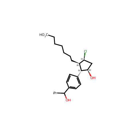 CC(C)C(O)c1ccc([C@@H]2[C@@H](CCCCCCC(=O)O)[C@@H](Cl)C[C@H]2O)cc1